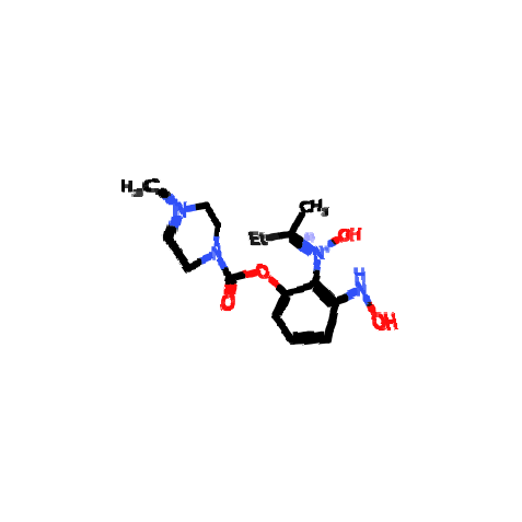 CC/C(C)=[N+](/O)c1c(NO)cccc1OC(=O)N1CCN(C)CC1